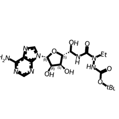 CCN(NC(=O)OC(C)(C)C)C(=O)NC(O)[C@H]1O[C@@H](n2cnc3c(N)ncnc32)[C@H](O)[C@@H]1O